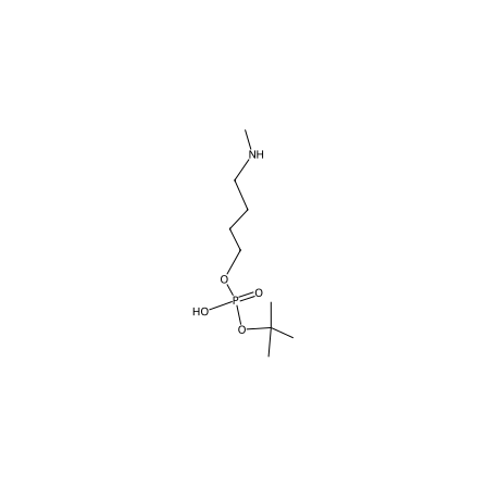 CNCCCCOP(=O)(O)OC(C)(C)C